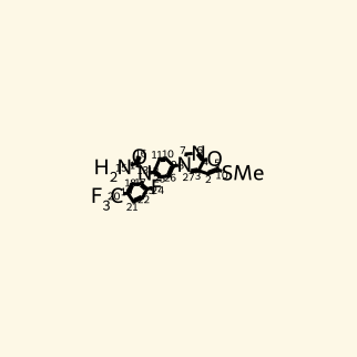 CSc1cc2c(o1)=NCN(c1ccc(N(C(N)=O)c3cc(C(F)(F)F)ccc3F)cc1)C=2